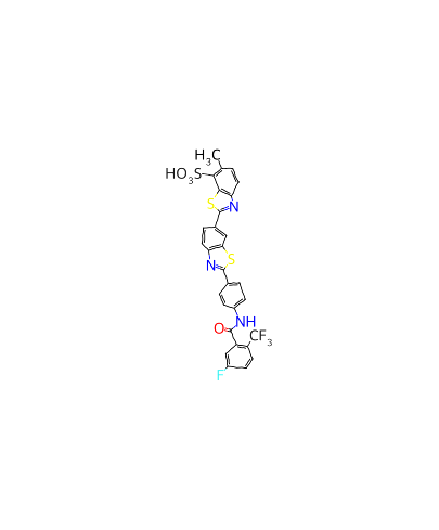 Cc1ccc2nc(-c3ccc4nc(-c5ccc(NC(=O)c6cc(F)ccc6C(F)(F)F)cc5)sc4c3)sc2c1S(=O)(=O)O